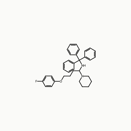 Fc1ccc(OCCCC(NC(c2ccccc2)(c2ccccc2)c2ccccc2)N2CCCCC2)cc1